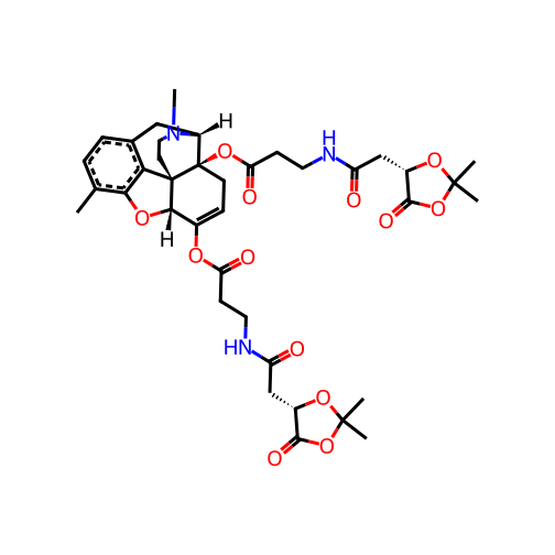 Cc1ccc2c3c1O[C@H]1C(OC(=O)CCNC(=O)C[C@@H]4OC(C)(C)OC4=O)=CC[C@@]4(OC(=O)CCNC(=O)C[C@@H]5OC(C)(C)OC5=O)[C@@H](C2)N(C)CC[C@]314